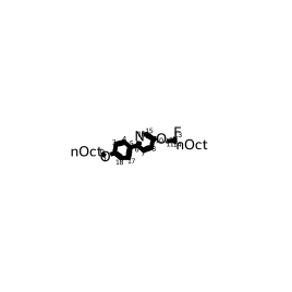 CCCCCCCCOc1ccc(-c2ccc(OCC(F)CCCCCCCC)cn2)cc1